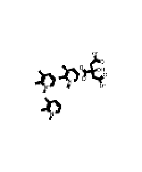 Cc1ccc[n+](C)c1C.Cc1ccc[n+](C)c1C.Cc1ccc[n+](C)c1C.O=C([O-])CC(O)(CC(=O)[O-])C(=O)[O-]